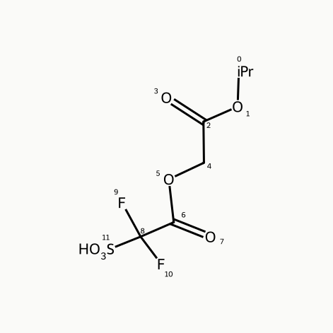 CC(C)OC(=O)COC(=O)C(F)(F)S(=O)(=O)O